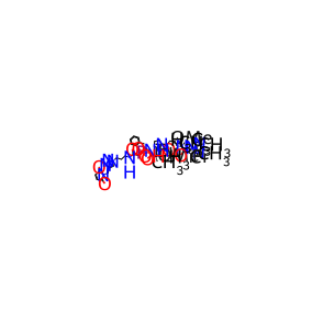 CC[C@H](C)[C@@H]([C@@H](CC(=O)N1CCCC1[C@H](OC)[C@@H](C)C(=O)N[C@@H](Cc1ccccc1)P(=O)(O)CC(=O)NCCCn1cc(CN2C(=O)C=CC2=O)nn1)OC)N(C)C(=O)C(N=C(N(C)C)N(C)C)C(C)C